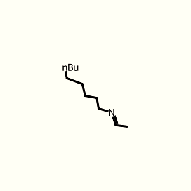 C/C=N/CCCCCCCCC